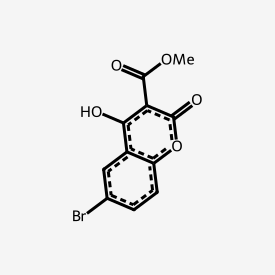 COC(=O)c1c(O)c2cc(Br)ccc2oc1=O